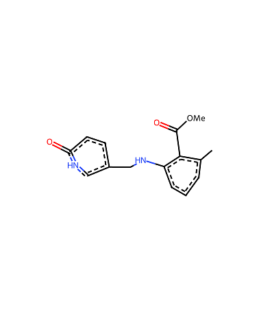 COC(=O)c1c(C)cccc1NCc1ccc(=O)[nH]c1